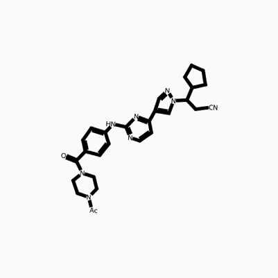 CC(=O)N1CCN(C(=O)c2ccc(Nc3nccc(-c4cnn(C(CC#N)C5CCCC5)c4)n3)cc2)CC1